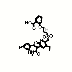 CCc1cc2c(C(=O)NC)c(-c3ccc(F)cc3)oc2nc1CS(=O)(=O)NCCOc1ccccc1C(=O)O